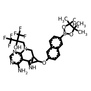 CC1(C)OB(c2ccc3cc(OC4CC4CN(CC(O)(C(F)(F)F)C(F)(F)F)c4ncnc(N)c4C(=N)I)ccc3c2)OC1(C)C